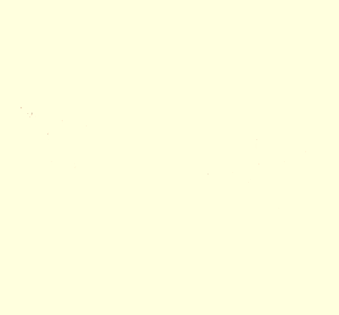 CCCc1ccc(C#Cc2ccc(C#Cc3ccc(COC)cc3)cc2)c(F)c1F